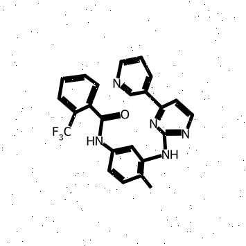 Cc1ccc(NC(=O)c2ccccc2C(F)(F)F)cc1Nc1nccc(-c2cccnc2)n1